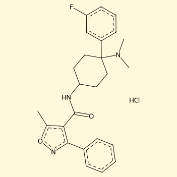 Cc1onc(-c2ccccc2)c1C(=O)NC1CCC(c2cccc(F)c2)(N(C)C)CC1.Cl